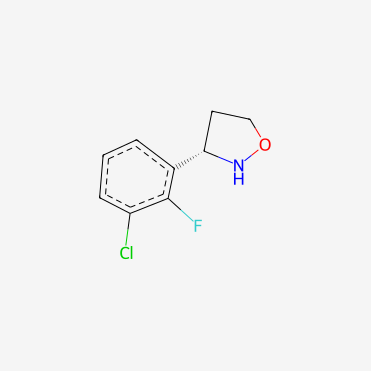 Fc1c(Cl)cccc1[C@@H]1CCON1